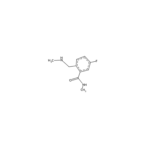 CNCc1ccc(F)cc1C(=O)NC